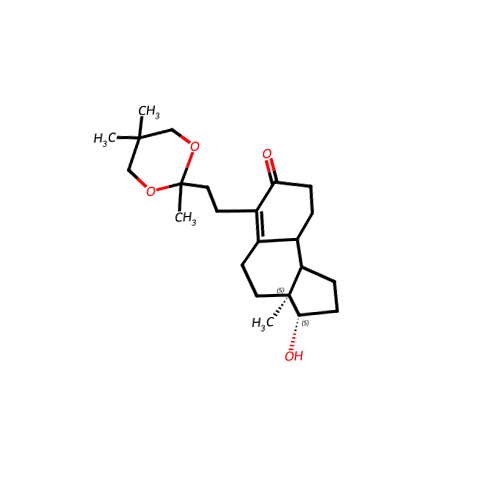 CC1(C)COC(C)(CCC2=C3CC[C@@]4(C)C(CC[C@@H]4O)C3CCC2=O)OC1